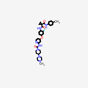 Cc1ccc(NC(=O)C2(C(=O)Nc3ccc(Oc4ccnc(NC(=O)N5CCC(N6CCN(C)CC6)CC5)c4)cc3F)CC2)cc1